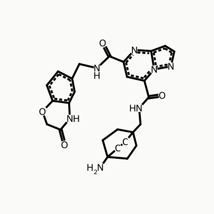 NC12CCC(CNC(=O)c3cc(C(=O)NCc4ccc5c(c4)NC(=O)CO5)nc4ccnn34)(CC1)CC2